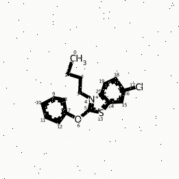 CCCC[n+]1c(Oc2ccccc2)sc2cc(Cl)ccc21